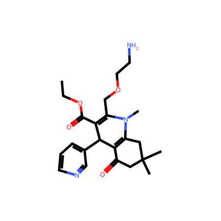 CCOC(=O)C1=C(COCCN)N(C)C2=C(C(=O)CC(C)(C)C2)C1c1cccnc1